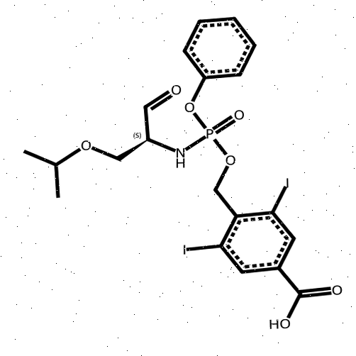 CC(C)OC[C@@H](C=O)NP(=O)(OCc1c(I)cc(C(=O)O)cc1I)Oc1ccccc1